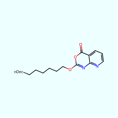 CCCCCCCCCCCCCCCCOc1nc2ncccc2c(=O)o1